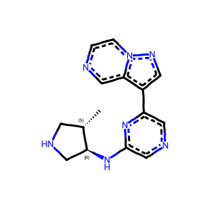 C[C@H]1CNC[C@@H]1Nc1cncc(-c2cnn3ccncc23)n1